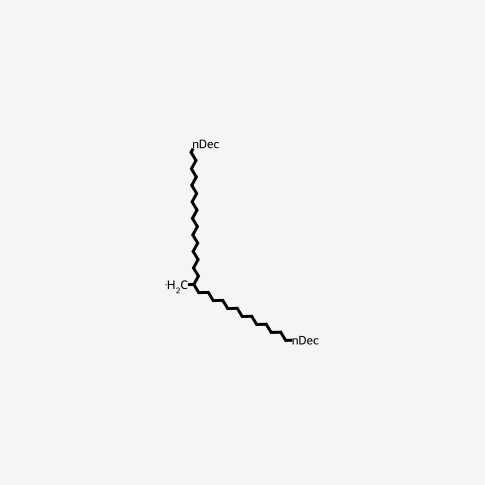 [CH2]C(CCCCCCCCCCCCCCCCCCCCCCC)CCCCCCCCCCCCCCCCCCCCCCCCCC